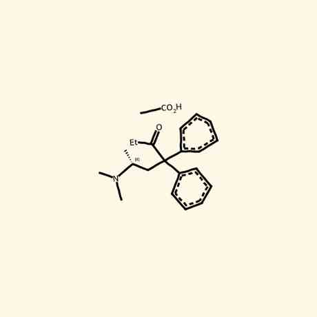 CC(=O)O.CCC(=O)C(C[C@@H](C)N(C)C)(c1ccccc1)c1ccccc1